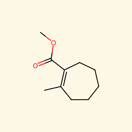 COC(=O)C1=C(C)CCCCC1